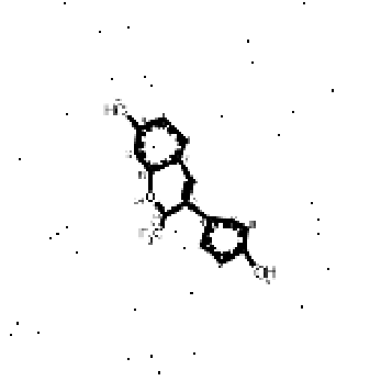 Oc1ccc(C2=Cc3ccc(O)cc3OC2C(F)(F)F)cc1